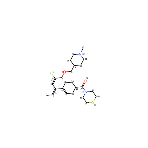 C/C=C(\C=C(\F)COCC1CCN(C)CC1)C1=CCC(C(=O)N2CCSCC2)CC1